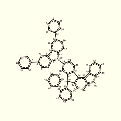 c1ccc(-c2ccc3c(c2)c2cc(-c4ccccc4)ccc2n3-c2ccc3c(c2)C(c2ccccc2)(c2ccccc2)c2ccc4sc5ccccc5c4c2-3)cc1